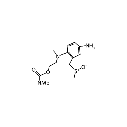 CNC(=O)OCCN(C)c1ccc(N)cc1C[S+](C)[O-]